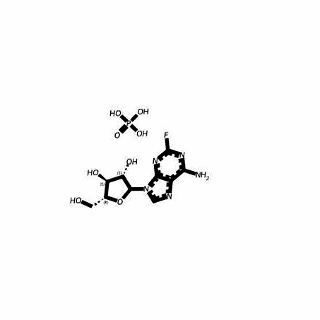 Nc1nc(F)nc2c1ncn2C1O[C@H](CO)[C@@H](O)[C@@H]1O.O=P(O)(O)O